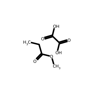 CCC(=O)OC.O=C(O)C(=O)O